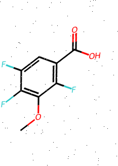 COc1c(F)c(F)cc(C(=O)O)c1F